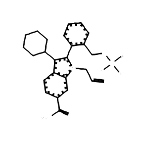 C=CCn1c(-c2ccccc2CO[Si](C(C)C)(C(C)C)C(C)C)c(C2CCCCC2)c2ccc(C(=O)OC)cc21